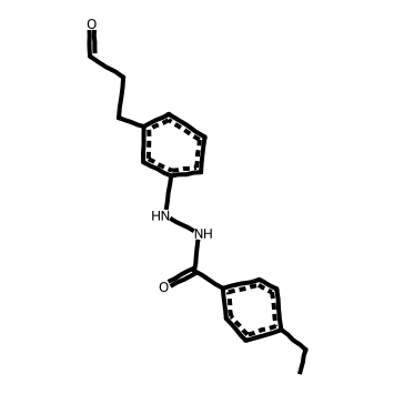 CCc1ccc(C(=O)NNc2cccc(CCC=O)c2)cc1